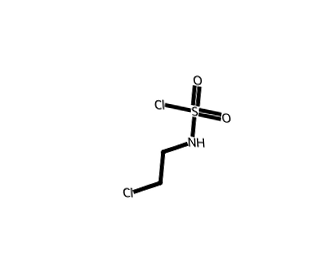 O=S(=O)(Cl)NCCCl